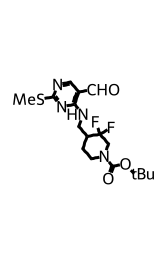 CSc1ncc(C=O)c(NCC2CCN(C(=O)OC(C)(C)C)CC2(F)F)n1